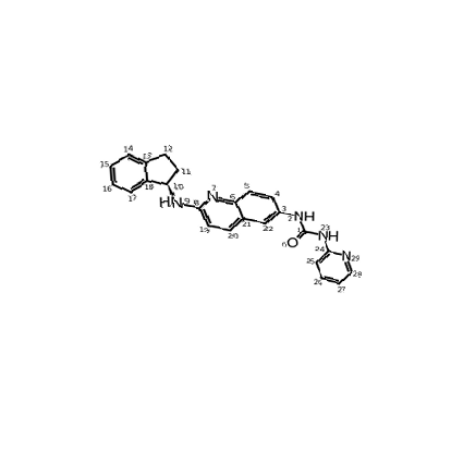 O=C(Nc1ccc2nc(N[C@@H]3CCc4ccccc43)ccc2c1)Nc1ccccn1